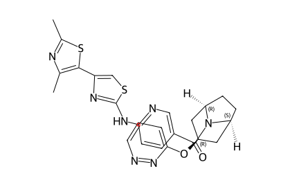 Cc1nc(C)c(-c2csc(Nc3ccc(C(=O)N4[C@@H]5CC[C@H]4C[C@@H](Oc4cccnn4)C5)cn3)n2)s1